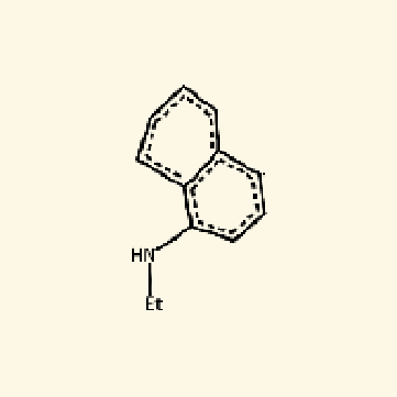 CCNc1cc[c]c2ccccc12